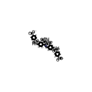 O=[N+]([O-])c1ccc(S(=O)(=O)Nc2ccc(/C=C/c3ccc(NS(=O)(=O)c4ccc([N+](=O)[O-])cc4)cc3S(=O)(=O)O)c(S(=O)(=O)O)c2)cc1